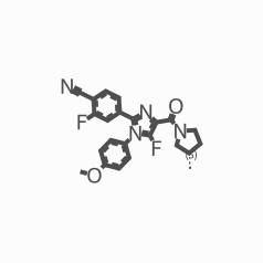 COc1ccc(-n2c(-c3ccc(C#N)c(F)c3)nc(C(=O)N3CC[C@H](C)C3)c2F)cc1